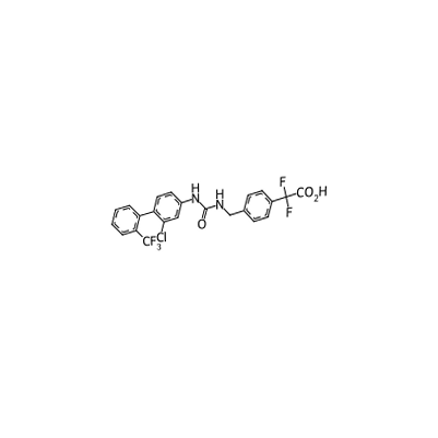 O=C(NCc1ccc(C(F)(F)C(=O)O)cc1)Nc1ccc(-c2ccccc2C(F)(F)F)c(Cl)c1